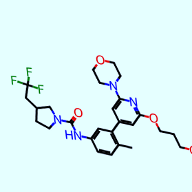 Cc1ccc(NC(=O)N2CCC(CC(F)(F)F)C2)cc1-c1cc(OCCCO)nc(N2CCOCC2)c1